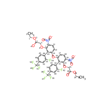 CCOC(=O)COc1c([N+](=O)[O-])ccc(Oc2ccc([N+](=O)[O-])c(OCC(=O)OCC)c2-c2ccc(C(F)(F)F)cc2F)c1-c1ccc(C(F)(F)F)cc1F